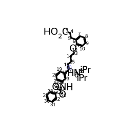 CC(C)NC(C)C.O=C(O)CCc1ccccc1OCCC/C=C/c1cccc(NS(=O)(=O)c2ccccc2)c1